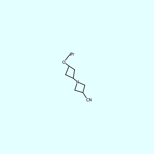 CC(C)OC1CC(N2CC(C#N)C2)C1